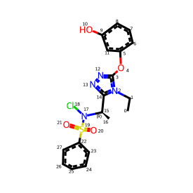 CCn1c(Oc2cccc(O)c2)nnc1[C@@H](C)N(Cl)S(=O)(=O)c1ccccc1